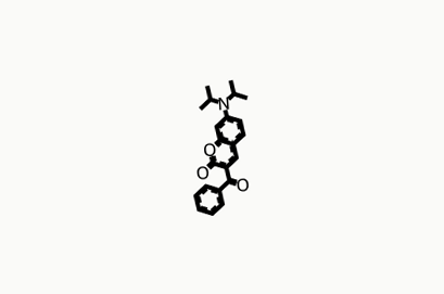 CC(C)N(c1ccc2cc(C(=O)c3ccccc3)c(=O)oc2c1)C(C)C